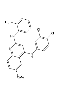 COc1ccc2nc(Nc3ccccc3C)cc(Nc3ccc(Cl)c(Cl)c3)c2c1